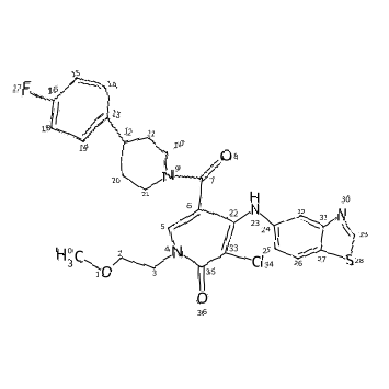 COCCn1cc(C(=O)N2CCC(c3ccc(F)cc3)CC2)c(Nc2ccc3scnc3c2)c(Cl)c1=O